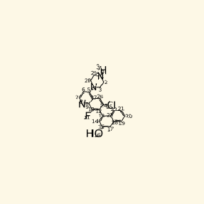 [3H]N1CCN(c2ccnc3c(F)c(-c4cc(O)cc5ccccc45)c(Cl)cc23)CC1